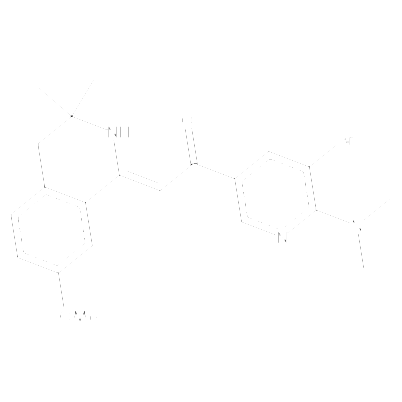 COc1ccc2c(c1)C(=CC(=O)c1cnc(N(C)C)c(Br)c1)NC(C)(C)C2